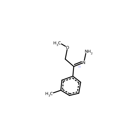 COC/C(=N\N)c1cccc(C)c1